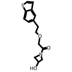 O=C(COCCc1ccc2sccc2c1)N1CC(O)C1